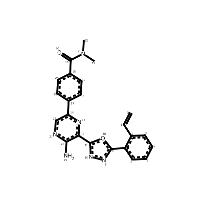 C=Cc1ccccc1-c1nnc(-c2nc(-c3ccc(C(=O)N(C)C)cc3)cnc2N)o1